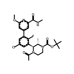 CNC(=O)c1cc(-c2cc(Cl)cc([C@H]3[C@H](C)N(C(=O)OC(C)(C)C)CCN3C(C)=O)c2F)cc(OC)n1